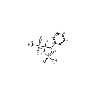 CC(OS(=O)(=O)O)(Sc1ccccc1)S(N)(=O)=O